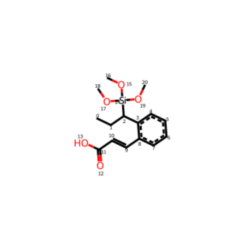 CCC(c1ccccc1/C=C/C(=O)O)[Si](OC)(OC)OC